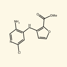 COC(=O)c1occc1Nc1cc(Cl)ncc1N